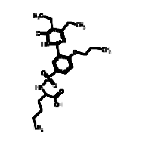 CCCOc1ccc(S(=O)(=O)NC(CCCN)C(=O)O)cc1-c1nc(CC)c(CC)c(=O)[nH]1